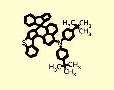 CC(C)(C)c1ccc(N(c2ccc(C(C)(C)C)cc2)c2ccc3c4c(cccc24)C2(c4ccccc4-c4ccccc42)c2ccc4sc5ccccc5c4c2-3)cc1